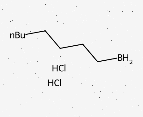 BCCCCCCCC.Cl.Cl